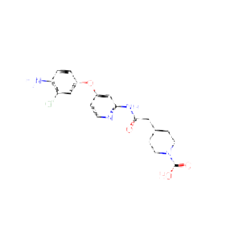 Nc1ccc(Oc2ccnc(NC(=O)CC3CCN(C(=O)O)CC3)c2)cc1Cl